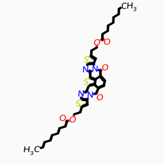 CCCCCCCCC(=O)OCCc1cc2c(nc3c4sc5c6c(ccc(c(=O)n23)c46)c(=O)n2c3cc(CCOC(=O)CCCCCCCC)sc3nc52)s1